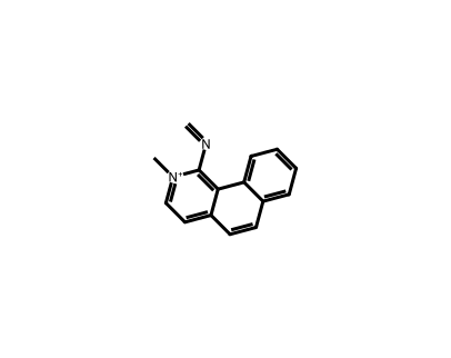 C=Nc1c2c(ccc3ccccc32)cc[n+]1C